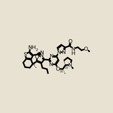 CCCc1c(-c2nc(O[C@@H](C)[C@@H]3CCCN3C)cc(-n3ccc(C(=O)NCCOC)n3)n2)noc1[C@@]1(C)CCCc2sc(N)c(C#N)c21